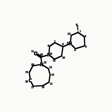 C[C@@H]1CCCN(C2CCN(C(=O)N3CCCCCCCC3)CC2)C1